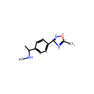 CC(C)NC(C)c1ccc(-c2noc(C(F)(F)F)n2)cc1